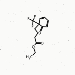 CCOC(=O)CCCC1(C(F)(F)F)C=CC=CC1=O